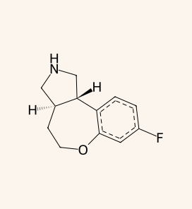 Fc1ccc2c(c1)OCC[C@H]1CNC[C@H]21